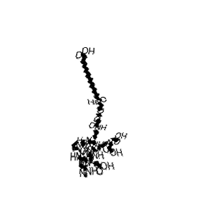 CC(=O)N1CCC[C@H]1C(=O)N[C@@H](Cc1c[nH]cn1)C(=O)N[C@@H](CCC(=O)O)C(=O)N[C@@H](CCCCN(CC(=O)O)CC(=O)O)C(=O)N[C@@H](CCCCNC(=O)COCCOCCNC(=O)CCCCCCCCCCCCCCCCC(=O)O)C(N)=O